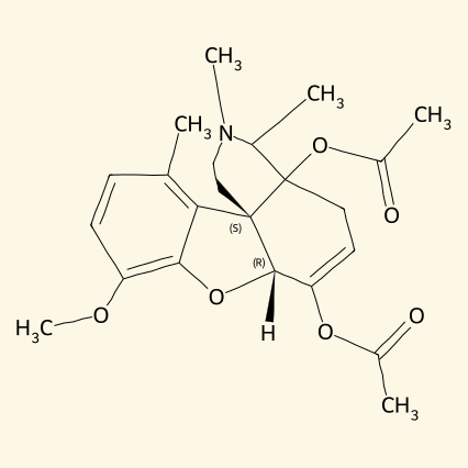 COc1ccc(C)c2c1O[C@H]1C(OC(C)=O)=CCC3(OC(C)=O)C(C)N(C)CC[C@]213